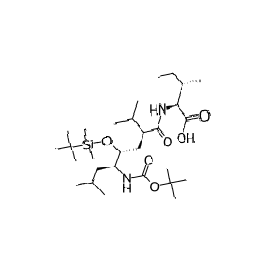 CC[C@H](C)[C@H](NC(=O)[C@@H](C[C@@H](O[Si](C)(C)C(C)(C)C)[C@H](CC(C)C)NC(=O)OC(C)(C)C)C(C)C)C(=O)O